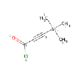 C[Si](C)(C)C#CC(=O)Cl